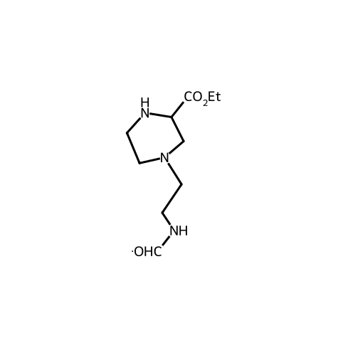 CCOC(=O)C1CN(CCN[C]=O)CCN1